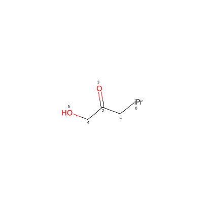 CC(C)CC(=O)CO